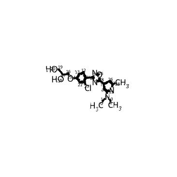 CCN(CC)c1cc(-c2nc(-c3ccc(OCC(O)CO)cc3Cl)no2)cc(C)n1